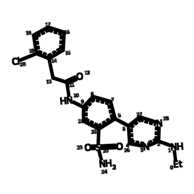 CCNc1ncc(-c2ccc(NC(=O)Cc3ccccc3Cl)cc2S(N)(=O)=O)cn1